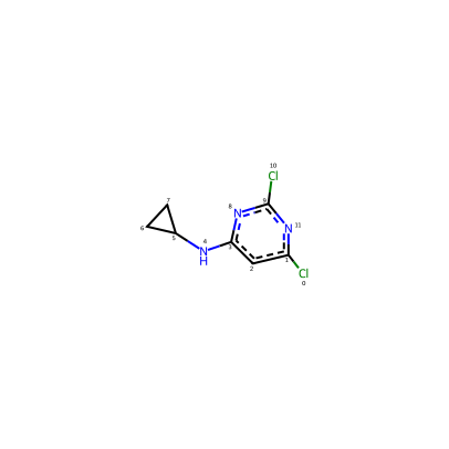 Clc1cc(NC2CC2)nc(Cl)n1